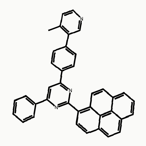 Cc1ccncc1-c1ccc(-c2cc(-c3ccccc3)nc(-c3ccc4ccc5cccc6ccc3c4c56)n2)cc1